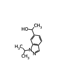 CC(O)c1ccc2cnn(C(C)C)c2c1